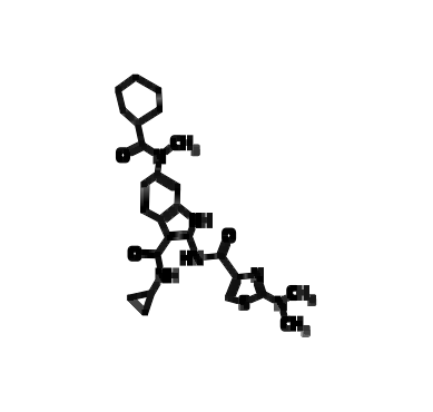 CN(C)c1nc(C(=O)Nc2[nH]c3cc(N(C)C(=O)C4CCCCC4)ccc3c2C(=O)NC2CC2)cs1